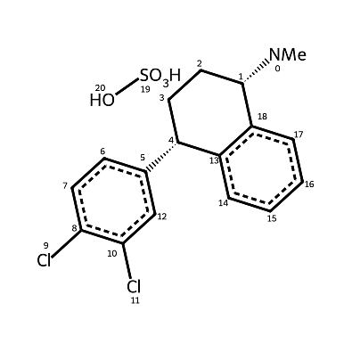 CN[C@H]1CC[C@@H](c2ccc(Cl)c(Cl)c2)c2ccccc21.O=S(=O)(O)O